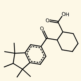 CC1C(C)(C)c2ccc(C(=O)C3CCCCC3C(=O)O)cc2C1(C)C